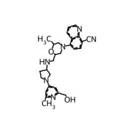 Cc1cc(N2CCC(NCC3CN(c4ccc(C#N)c5ncccc45)CC(C)O3)C2)cc(CO)n1